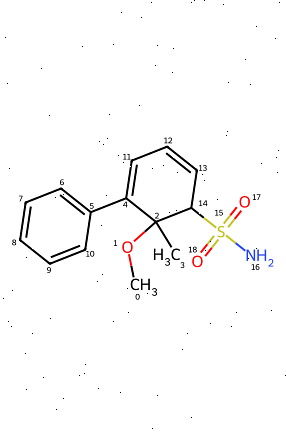 COC1(C)C(c2ccccc2)=CC=CC1S(N)(=O)=O